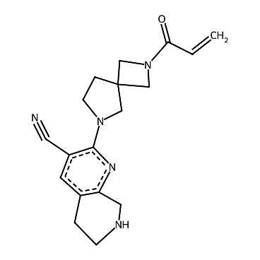 C=CC(=O)N1CC2(CCN(c3nc4c(cc3C#N)CCNC4)C2)C1